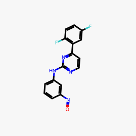 O=Nc1cccc(Nc2nccc(-c3cc(F)ccc3F)n2)c1